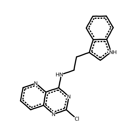 Clc1nc(NCCc2c[nH]c3ccccc23)c2ncccc2n1